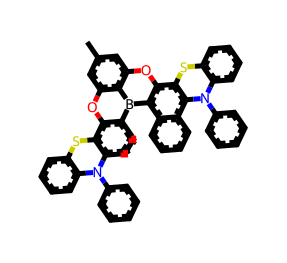 Cc1cc2c3c(c1)Oc1c4c(c5ccccc5c1B3c1c(c3c(c5ccccc15)N(c1ccccc1)c1ccccc1S3)O2)N(c1ccccc1)c1ccccc1S4